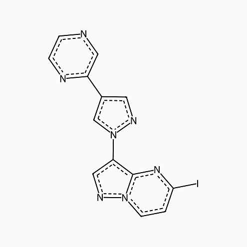 Ic1ccn2ncc(-n3cc(-c4cnccn4)cn3)c2n1